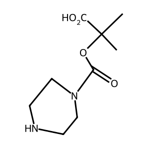 CC(C)(OC(=O)N1CCNCC1)C(=O)O